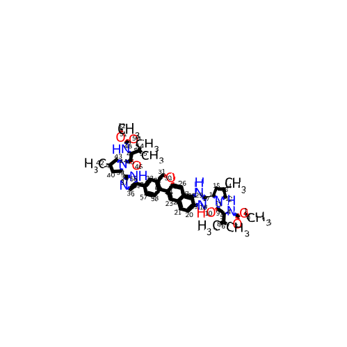 COC(=O)N[C@@H](C(C)C)C(O)N1C[C@@H](C)C[C@H]1c1nc2ccc3cc4c(cc3c2[nH]1)OCc1cc(-c2cnc([C@@H]3C[C@H](C)CN3C(=O)[C@@H](NC(=O)OC)C(C)C)[nH]2)ccc1-4